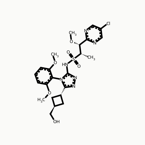 COc1cccc(OC)c1-n1c(NS(=O)(=O)[C@@H](C)[C@H](OC)c2ncc(Cl)cn2)nnc1[C@H]1C[C@H](CO)C1